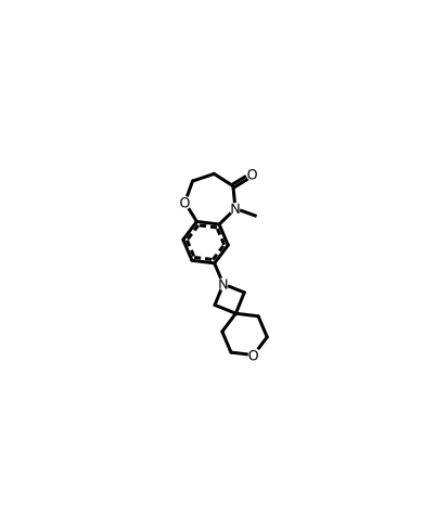 CN1C(=O)CCOc2ccc(N3CC4(CCOCC4)C3)cc21